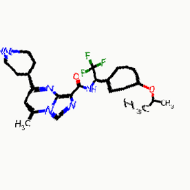 Cc1cc(C2CCNCC2)nc2c(C(=O)NC(C3CCC(OC(C)C)CC3)C(F)(F)F)ncn12